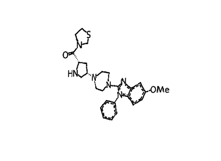 COc1ccc2c(c1)nc(N1CCN([C@@H]3CN[C@H](C(=O)N4CCSC4)C3)CC1)n2-c1ccccc1